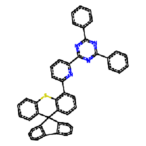 c1ccc(-c2nc(-c3ccccc3)nc(-c3cccc(-c4cccc5c4Sc4ccccc4C54c5ccccc5-c5ccccc54)n3)n2)cc1